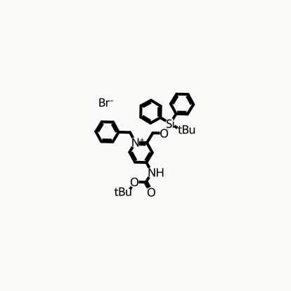 CC(C)(C)OC(=O)Nc1cc[n+](Cc2ccccc2)c(CO[Si](c2ccccc2)(c2ccccc2)C(C)(C)C)c1.[Br-]